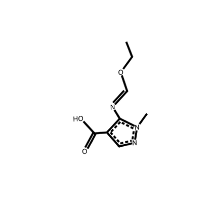 CCOC=Nc1c(C(=O)O)cnn1C